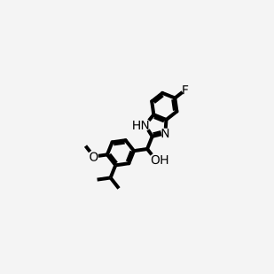 COc1ccc(C(O)c2nc3cc(F)ccc3[nH]2)cc1C(C)C